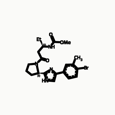 CC[C@@H](CC(=O)N1CCC[C@H]1c1nc(-c2ccc(Br)c(C)c2)c[nH]1)NC(=O)OC